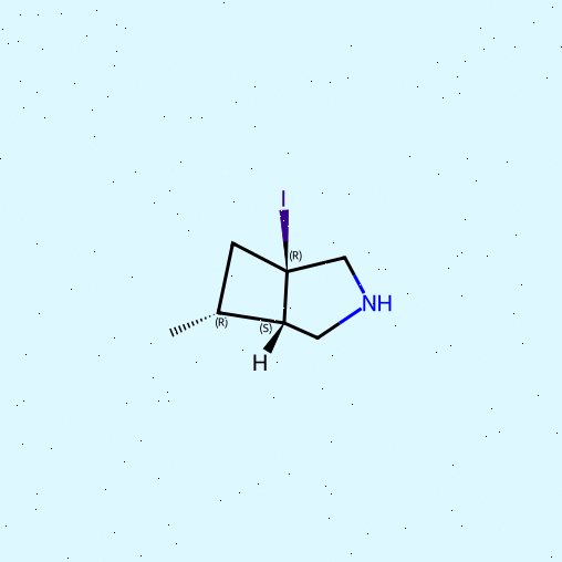 C[C@@H]1C[C@]2(I)CNC[C@H]12